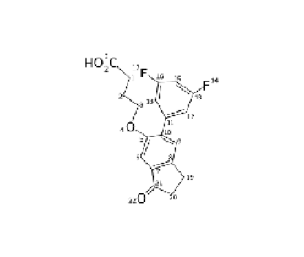 O=C(O)CCCOc1cc2c(cc1-c1cc(F)cc(F)c1)CCC2=O